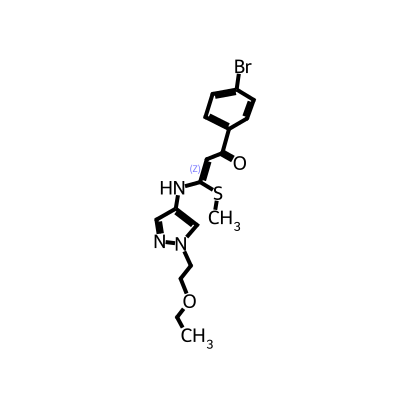 CCOCCn1cc(N/C(=C/C(=O)c2ccc(Br)cc2)SC)cn1